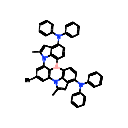 Cc1cc2c(N(c3ccccc3)c3ccccc3)ccc3c2n1-c1cc(C(C)C)cc2c1B3c1ccc(N(c3ccccc3)c3ccccc3)c3cc(C)n-2c13